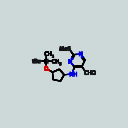 CSc1ncc(C=O)c(NC2CCC(O[Si](C)(C)C(C)(C)C)C2)n1